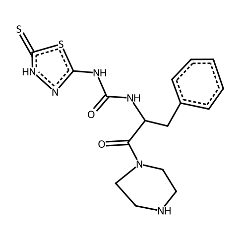 O=C(Nc1n[nH]c(=S)s1)NC(Cc1ccccc1)C(=O)N1CCNCC1